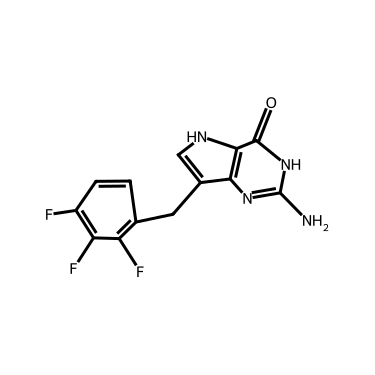 Nc1nc2c(Cc3ccc(F)c(F)c3F)c[nH]c2c(=O)[nH]1